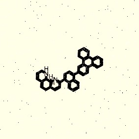 C1=Cc2c(c3cc(-c4ccc(C5=N[C@@H]6C(C=C5)CC=C5C=CCNC56)c5ccccc45)ccc3c3ccccc23)CC1